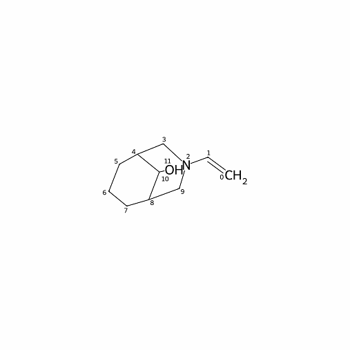 C=CN1CC2CCCC(C1)C2O